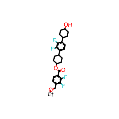 CCOCc1ccc(C(=O)OC2CCC(c3ccc(C4CCC(O)CC4)c(F)c3F)CC2)c(F)c1F